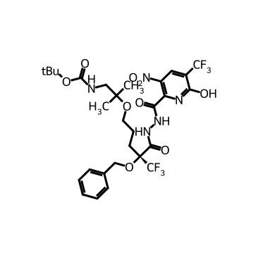 CC(C)(C)OC(=O)NCC(C)(C)OCCC[C@@](OCc1ccccc1)(C(=O)NNC(=O)c1nc(O)c(C(F)(F)F)cc1[N+](=O)[O-])C(F)(F)F